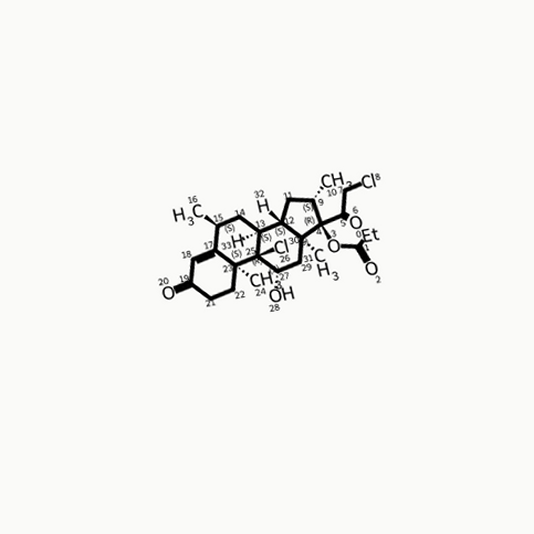 CCC(=O)O[C@]1(C(=O)CCl)[C@@H](C)C[C@H]2[C@@H]3C[C@H](C)C4=CC(=O)CC[C@]4(C)[C@@]3(Cl)[C@@H](O)C[C@@]21C